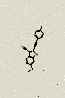 COc1ccc2c(C#N)c(C#Cc3ccc(C)cc3)[nH]c2c1